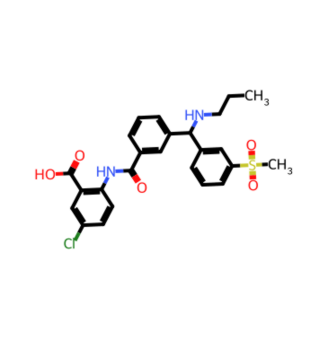 CCCNC(c1cccc(C(=O)Nc2ccc(Cl)cc2C(=O)O)c1)c1cccc(S(C)(=O)=O)c1